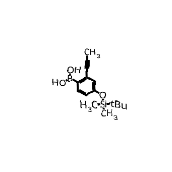 CC#Cc1cc(O[Si](C)(C)C(C)(C)C)ccc1B(O)O